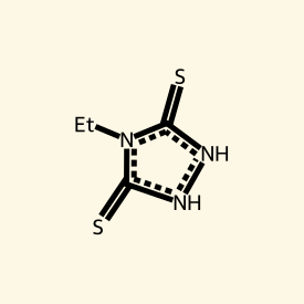 CCn1c(=S)[nH][nH]c1=S